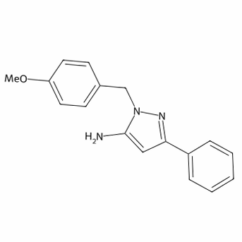 COc1ccc(Cn2nc(-c3ccccc3)cc2N)cc1